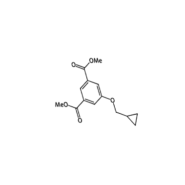 COC(=O)c1cc(OCC2CC2)cc(C(=O)OC)c1